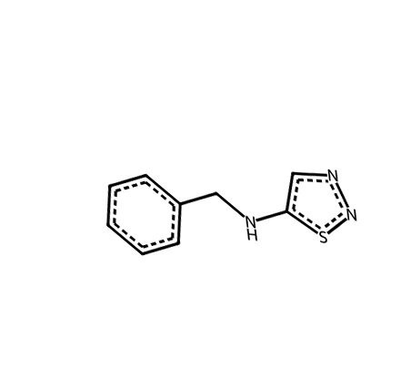 c1ccc(CNc2cnns2)cc1